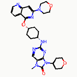 Cn1c(=O)n(C2CCOCC2)c2nc(N[C@H]3CC[C@@H](Oc4nc(N5CCOCC5)cc5ncccc45)CC3)ncc21